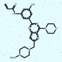 C=CC(=O)Nc1cc(O)cc(-c2nc(N3CCOCC3)c3sc(CN4CCN(SC)CC4)cc3n2)c1